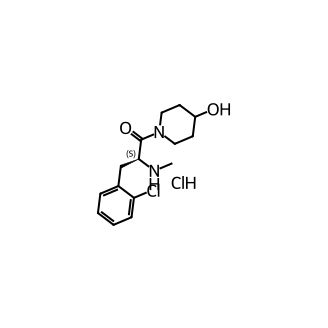 CN[C@@H](Cc1ccccc1Cl)C(=O)N1CCC(O)CC1.Cl